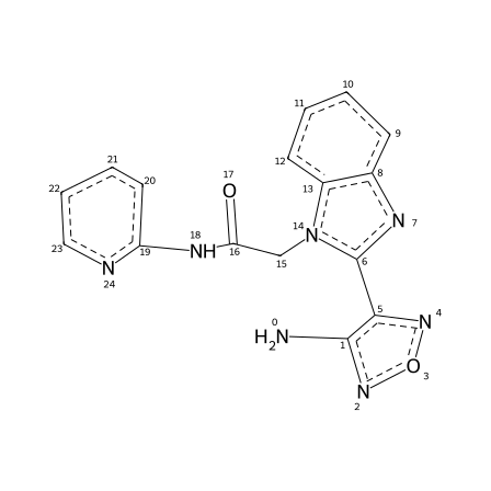 Nc1nonc1-c1nc2ccccc2n1CC(=O)Nc1ccccn1